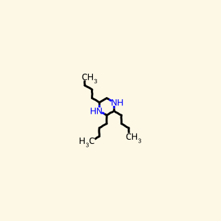 CCCCC1CNC(CCCC)C(CCCC)N1